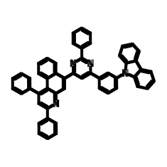 c1ccc(-c2cc(-c3ccccc3)c3c(cc(-c4cc(-c5cccc(-n6c7ccccc7c7ccccc76)c5)nc(-c5ccccc5)n4)c4ccccc43)n2)cc1